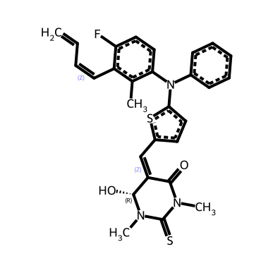 C=C/C=C\c1c(F)ccc(N(c2ccccc2)c2ccc(/C=C3\C(=O)N(C)C(=S)N(C)[C@@H]3O)s2)c1C